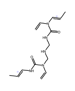 C=CN(/C=C/C)C(=O)NCNCN(C=C)C(=O)N/C=C/C